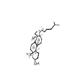 CC(C)CCC[C@@H](C)[C@H]1CC[C@H]2[C@@H]3CCC4(N)CC(O)CC[C@]4(C)[C@H]3CC[C@]12C